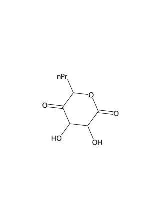 CCCC1OC(=O)C(O)C(O)C1=O